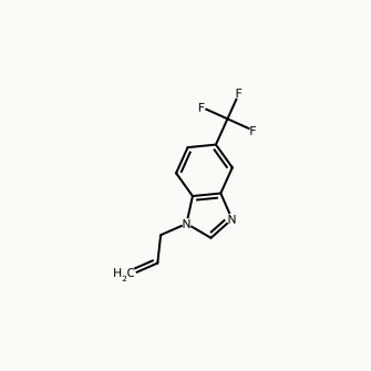 C=CCn1cnc2cc(C(F)(F)F)ccc21